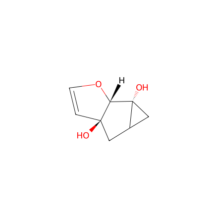 O[C@@]12C=CO[C@@H]1[C@@]1(O)CC1C2